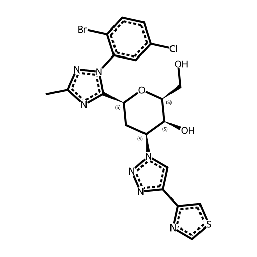 Cc1nc([C@@H]2C[C@H](n3cc(-c4cscn4)nn3)[C@H](O)[C@H](CO)O2)n(-c2cc(Cl)ccc2Br)n1